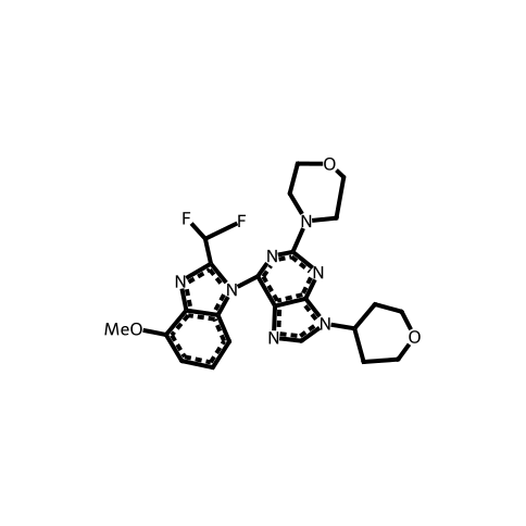 COc1cccc2c1nc(C(F)F)n2-c1nc(N2CCOCC2)nc2c1ncn2C1CCOCC1